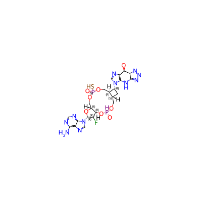 Nc1ncnc2c1ncn2[C@@H]1O[C@@H]2CO[P@@](=O)(S)OC[C@@H]3[C@@H](CO[PH](=O)O[C@H]2[C@H]1F)C[C@H]3n1cnc2c1NC1=NN=NC1C2=O